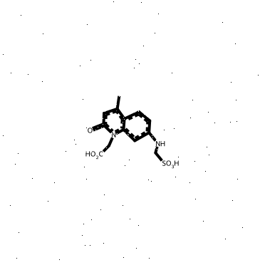 Cc1cc(=O)n(CC(=O)O)c2cc(NCS(=O)(=O)O)ccc12